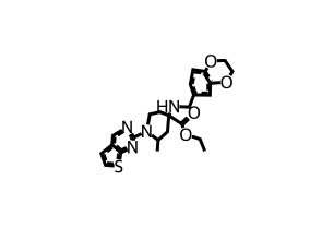 CCOC(=O)C1(NCc2ccc3c(c2)OCCO3)CCN(c2ncc3ccsc3n2)C(C)C1